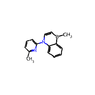 CB1C=CN(c2cccc(C)n2)c2ccccc21